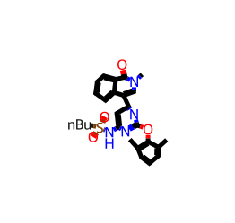 CCCCS(=O)(=O)Nc1cc(-c2cn(C)c(=O)c3ccccc23)nc(Oc2c(C)cccc2C)n1